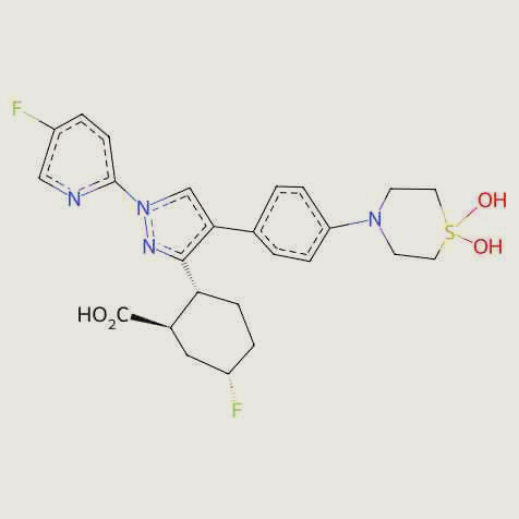 O=C(O)[C@@H]1C[C@@H](F)CC[C@H]1c1nn(-c2ccc(F)cn2)cc1-c1ccc(N2CCS(O)(O)CC2)cc1